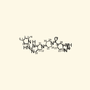 Cc1cc(C)nc(NC2=NC=C3CN(C4CCN(C(=O)c5ccc6nn[nH]c6c5)CC4)CC3N2)c1